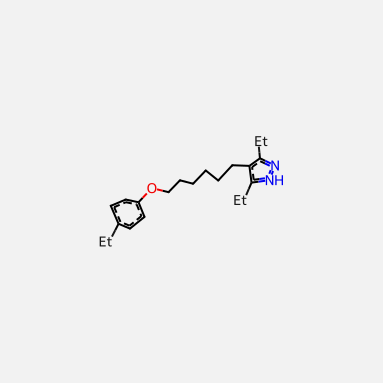 CCc1ccc(OCCCCCCc2c(CC)n[nH]c2CC)cc1